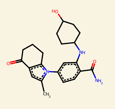 Cc1cc2c(n1-c1ccc(C(N)=O)c(NC3CCC(O)CC3)c1)CCCC2=O